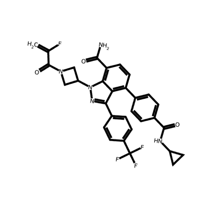 C=C(F)C(=O)N1CC(n2nc(-c3ccc(C(F)(F)F)cc3)c3c(-c4ccc(C(=O)NC5CC5)cc4)ccc(C(N)=O)c32)C1